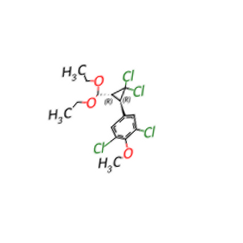 CCOC(OCC)[C@H]1[C@H](c2cc(Cl)c(OC)c(Cl)c2)C1(Cl)Cl